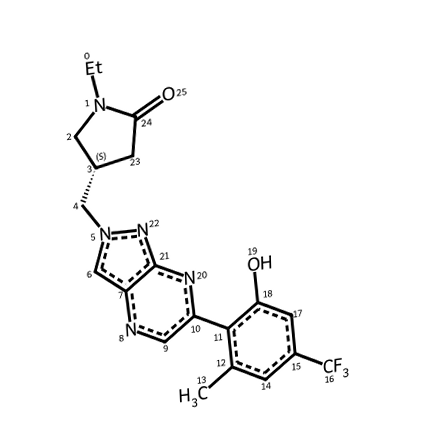 CCN1C[C@@H](Cn2cc3ncc(-c4c(C)cc(C(F)(F)F)cc4O)nc3n2)CC1=O